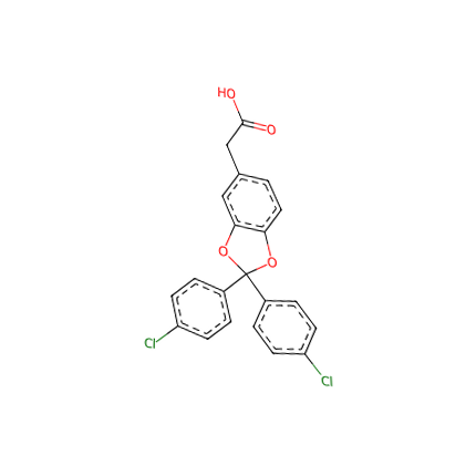 O=C(O)Cc1ccc2c(c1)OC(c1ccc(Cl)cc1)(c1ccc(Cl)cc1)O2